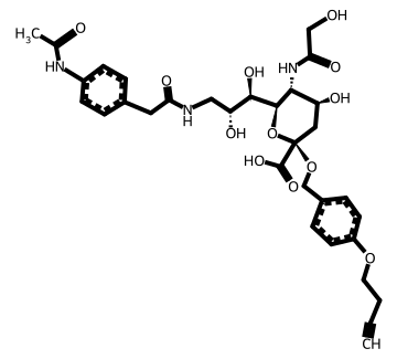 C#CCCOc1ccc(CO[C@]2(C(=O)O)C[C@H](O)[C@@H](NC(=O)CO)[C@H]([C@H](O)[C@H](O)CNC(=O)Cc3ccc(NC(C)=O)cc3)O2)cc1